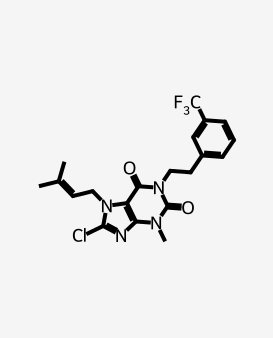 CC(C)=CCn1c(Cl)nc2c1c(=O)n(CCc1cccc(C(F)(F)F)c1)c(=O)n2C